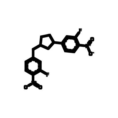 O=[N+]([O-])c1ccc(CC2CCC(c3ccc([N+](=O)[O-])c(F)c3)C2)cc1F